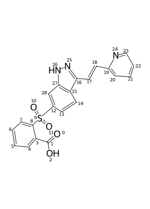 O=C(O)c1ccccc1S(=O)(=O)c1ccc2c(C=Cc3ccccn3)n[nH]c2c1